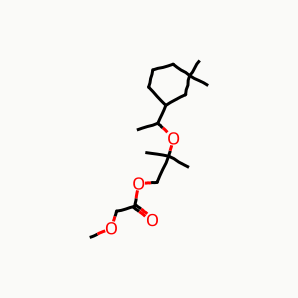 COCC(=O)OCC(C)(C)OC(C)C1CCCC(C)(C)C1